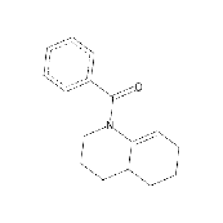 O=C(c1ccccc1)N1CCCC2CCCC=C21